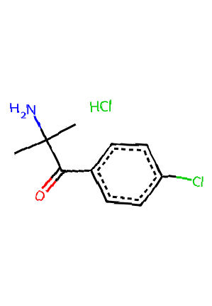 CC(C)(N)C(=O)c1ccc(Cl)cc1.Cl